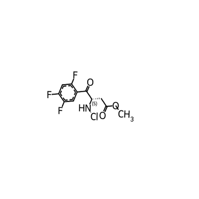 COC(=O)C[C@H](NCl)C(=O)c1cc(F)c(F)cc1F